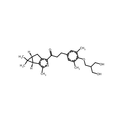 Cc1cc(CCC(=O)c2sc(C)c3c2C[C@@H]2[C@H]3C2(C)C)cc(C)c1OCC(CO)CO